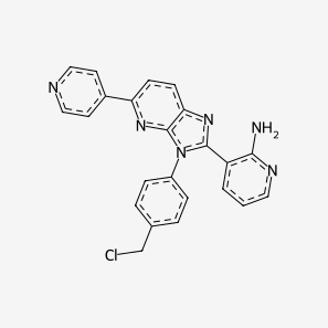 Nc1ncccc1-c1nc2ccc(-c3ccncc3)nc2n1-c1ccc(CCl)cc1